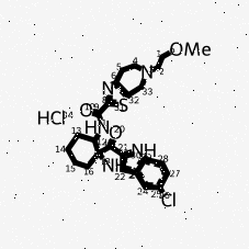 COCCN1CCc2nc(C(=O)NC3CCCCC3(N)C(=O)c3cc4cc(Cl)ccc4[nH]3)sc2C1.Cl